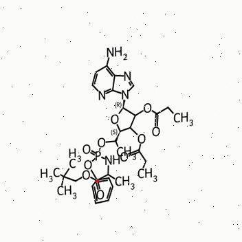 CCC(=O)OC1C(OC(=O)CC)[C@H](n2cnc3c(N)ccnc32)O[C@@H]1C(C)OP(=O)(NC(C)C(=O)OCC(C)(C)C)Oc1ccccc1